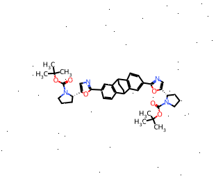 CC(C)(C)OC(=O)N1CCC[C@H]1c1cnc(-c2ccc3c(c2)C2CCC3c3cc(-c4ncc([C@@H]5CCCN5C(=O)OC(C)(C)C)o4)ccc32)o1